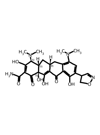 CN(C)c1cc(C2C=NOC2)c(O)c2c1C[C@H]1C[C@H]3[C@H](N(C)C)C(O)=C(C(N)=O)C(=O)[C@@]3(O)C(O)=C1C2=O